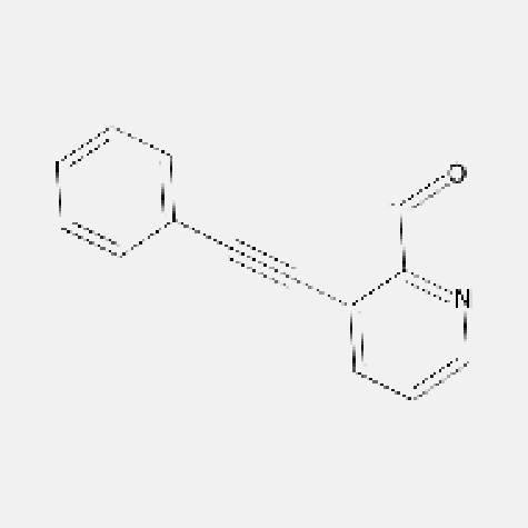 O=[C]c1ncccc1C#Cc1ccccc1